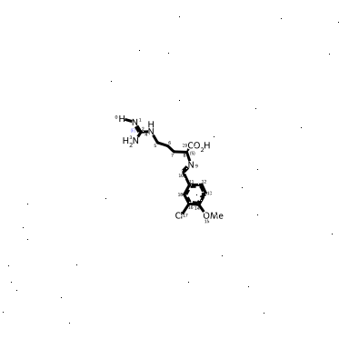 [H]/N=C(\N)NCCC[C@H](N=Cc1ccc(OC)c(Cl)c1)C(=O)O